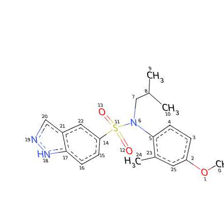 COc1ccc(N(CC(C)C)S(=O)(=O)c2ccc3[nH]ncc3c2)c(C)c1